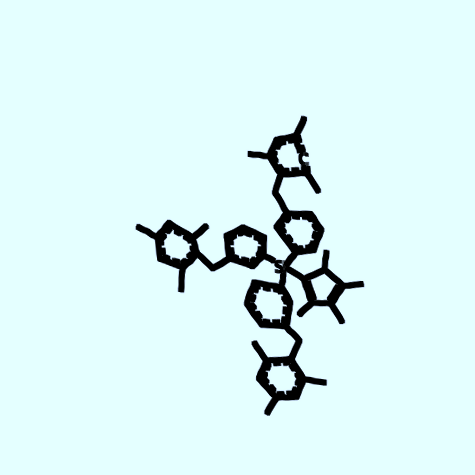 CC1=C(C)C(C)C([Si](c2cccc(Cc3c(C)cc(C)cc3C)c2)(c2cccc(Cc3c(C)cc(C)cc3C)c2)c2cccc(Cc3c(C)cc(C)cc3C)c2)=C1C